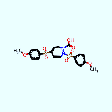 COc1ccc(S(=O)(=O)C2=CCN(C(=O)O)N(S(=O)(=O)c3ccc(OC)cc3)C=C2)cc1